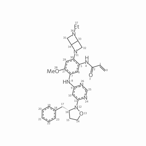 C=CC(=O)Nc1cc(Nc2cc(N3OCC[C@@H]3Cc3ccccc3)ncn2)c(OC)cc1N1CC2C1CN2CC